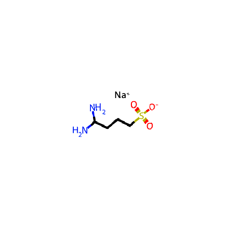 NC(N)CCCS(=O)(=O)[O-].[Na+]